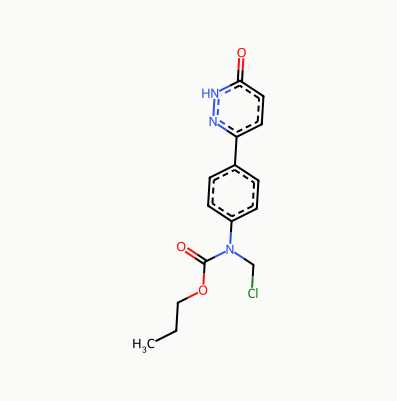 CCCOC(=O)N(CCl)c1ccc(-c2ccc(=O)[nH]n2)cc1